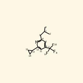 CC(C)Cc1cc(C(F)(F)F)cc(C2CC2)n1